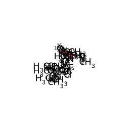 CN1CCC[C@H]1COc1nc2c(c(N3CC4CCC(C3)N4C(=O)OC(C)(C)C)n1)CCN(c1cc(N(C(=O)OC(C)(C)C)C(=O)OC(C)(C)C)cc(Cl)c1C(F)(F)F)C2